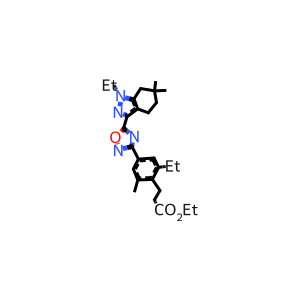 CCOC(=O)CCc1c(C)cc(-c2noc(-c3nn(CC)c4c3CCC(C)(C)C4)n2)cc1CC